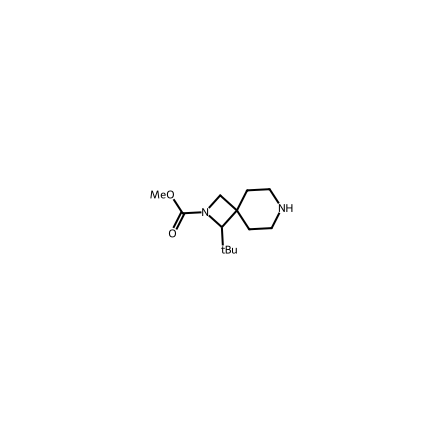 COC(=O)N1CC2(CCNCC2)C1C(C)(C)C